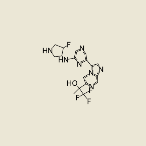 CC(O)(c1cn2c(-c3cncc(N[C@H]4CNCC4F)n3)cnc2cn1)C(F)(F)F